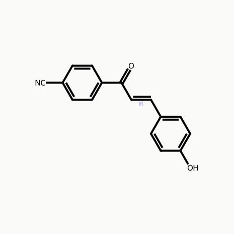 N#Cc1ccc(C(=O)/C=C/c2ccc(O)cc2)cc1